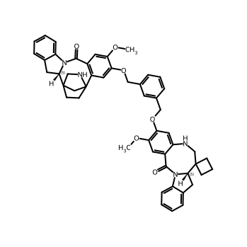 COc1cc2c(cc1OCc1cccc(COc3cc4c(cc3OC)C(=O)N3c5ccccc5C[C@H]3C35CCC4(C3)NC5)c1)NCC1(CCC1)[C@@H]1Cc3ccccc3N1C2=O